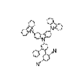 N#Cc1ccc(C#N)c(-c2ccc(-n3c4ccc(-n5c6ccccc6c6ccccc65)cc4c4cc(-n5c6ccccc6c6ccccc65)ccc43)cc2-c2ccccc2)c1